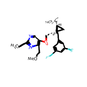 COCc1nc(C)ncc1OC[C@@]1(C2C=C(F)C=C(F)C2)C[C@H]1C(=O)O